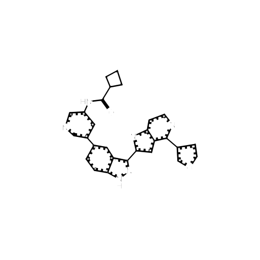 O=C(Nc1cncc(-c2ccc3[nH]nc(-c4cc5c(-c6ccoc6)nccc5[nH]4)c3c2)c1)C1CCC1